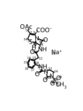 CC(=O)OCC1=C(C(=O)[O-])N2C(=O)C(NC(=O)Cc3ccccc3NC(=O)N3CCN(S(C)(=O)=O)C3=O)[C@H]2SC1.[Na+]